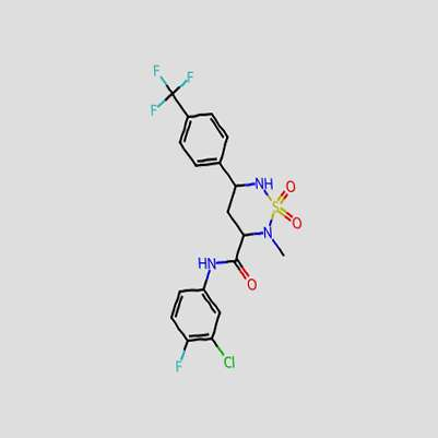 CN1C(C(=O)Nc2ccc(F)c(Cl)c2)CC(c2ccc(C(F)(F)F)cc2)NS1(=O)=O